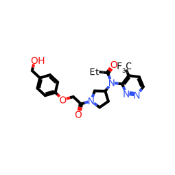 CCC(=O)N(c1nnccc1C(F)(F)F)C1CCN(C(=O)COc2ccc(CO)cc2)C1